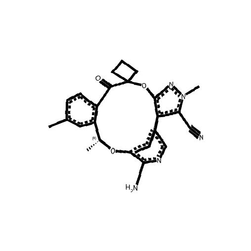 Cc1ccc2c(c1)[C@@H](C)Oc1cc(cnc1N)-c1c(nn(C)c1C#N)OC1(CCC1)C2=O